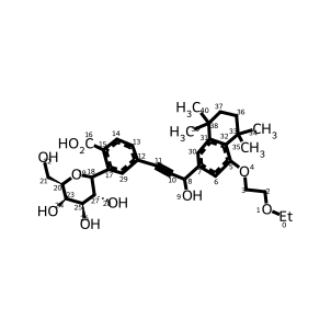 CCOCCOc1cc(C(O)C#Cc2ccc(C(=O)O)c(C3O[C@H](CO)[C@H](O)[C@H](O)[C@H]3O)c2)cc2c1C(C)(C)CCC2(C)C